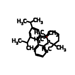 C=Cc1cc(C(C)C)cc(C(C)C)c1-c1ccccc1P1C(C)(C)CCCCC1(C)C